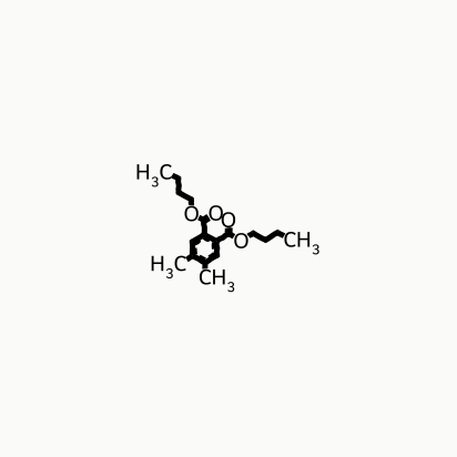 CCCCOC(=O)c1cc(C)c(C)cc1C(=O)OCCCC